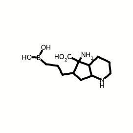 NC1(C(=O)O)C(CCCB(O)O)CC2NCCCC21